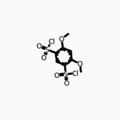 COc1cc(OC)c(S(=O)(=O)Cl)cc1S(=O)(=O)Cl